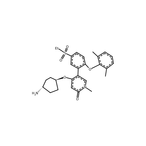 CCS(=O)(=O)c1ccc(Oc2c(C)cccc2C)c(-c2cn(C)c(=O)cc2O[C@H]2CC[C@H](N)CC2)c1